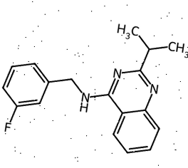 CC(C)c1nc(NCc2cccc(F)c2)c2ccccc2n1